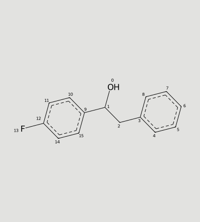 OC(Cc1ccccc1)c1ccc(F)cc1